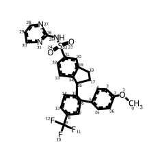 COc1ccc(-c2cc(C(F)(F)F)ccc2C2CCc3cc(S(=O)(=O)Nc4ncccn4)ccc32)cc1